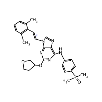 Cc1cccc(C)c1/C=C/n1cnc2c(Nc3ccc(P(C)(C)=O)cc3)nc(OC3CCOC3)nc21